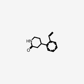 C=Cc1ccccc1C1CCNC(=O)C1